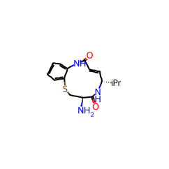 CC(C)[C@H]1/C=C/C(=O)Nc2ccccc2SC[C@H](N)C(=O)N1